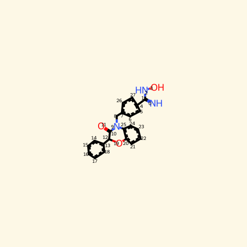 N=C(NO)c1ccc(CN2C(=O)C(c3ccccc3)Oc3ccccc32)cc1